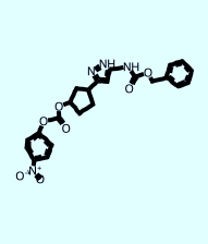 O=C(Nc1cc(C2CCC(OC(=O)Oc3ccc([N+](=O)[O-])cc3)C2)n[nH]1)OCc1ccccc1